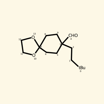 CC(C)(C)CCC1(C=O)CCC2(CC1)OCCO2